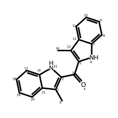 Cc1c(C(=O)c2[nH]c3ccccc3c2C)[nH]c2ccccc12